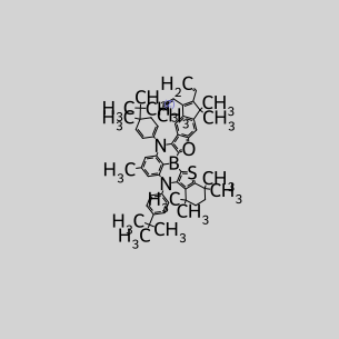 C=CC1=C(/C=C\C)c2cc3c4c(oc3cc2C1(C)C)B1c2sc3c(c2N(c2ccc(C(C)(C)C)cc2)c2cc(C)cc(c21)N4C1=CCC(C)(C(C)(C)C)C=C1)C(C)(C)CCC3(C)C